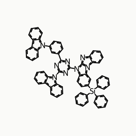 c1ccc([Si](c2ccccc2)(c2ccccc2)c2ccc3c(c2)n2c4ccccc4nc2n3-c2nc(-c3cccc(-n4c5ccccc5c5ccccc54)c3)nc(-n3c4ccccc4c4ccccc43)n2)cc1